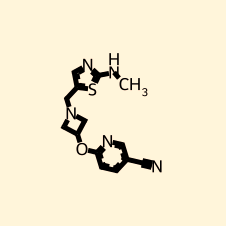 CNc1ncc(CN2CC(Oc3ccc(C#N)cn3)C2)s1